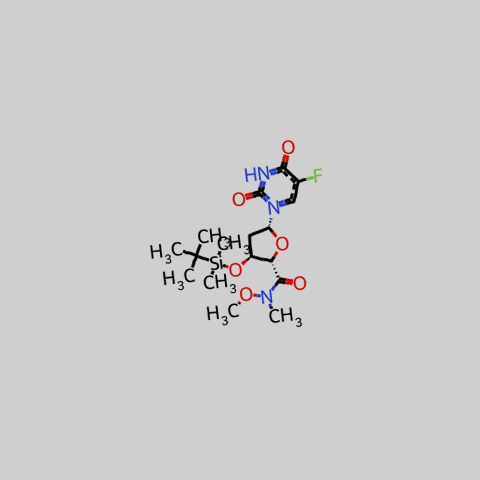 CON(C)C(=O)[C@H]1O[C@@H](n2cc(F)c(=O)[nH]c2=O)C[C@@H]1O[Si](C)(C)C(C)(C)C